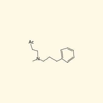 CC(=O)CCN(C)CCCc1ccccc1